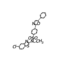 CCN(c1nc2cc(Cl)ccc2s1)S(=O)(=O)c1ccc(-c2ncc(-c3ccccc3)o2)cc1